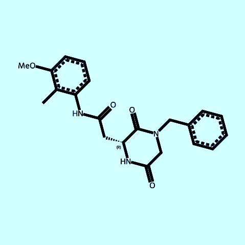 COc1cccc(NC(=O)C[C@H]2NC(=O)CN(Cc3ccccc3)C2=O)c1C